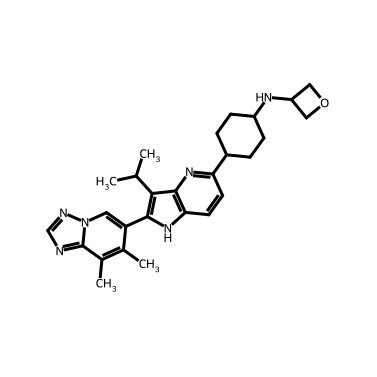 Cc1c(-c2[nH]c3ccc(C4CCC(NC5COC5)CC4)nc3c2C(C)C)cn2ncnc2c1C